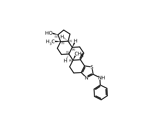 C[C@]12CC[C@H]3[C@@H](CC=C4c5sc(Nc6ccccc6)nc5CC[C@@]43C)[C@@H]1CC[C@@H]2O